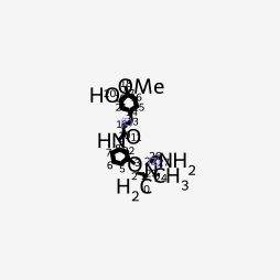 C=C(COc1cccc(NC(=O)/C=C/c2ccc(OC)c(O)c2)c1)N(C)/C=C\N